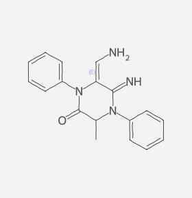 CC1C(=O)N(c2ccccc2)/C(=C/N)C(=N)N1c1ccccc1